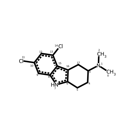 CN(C)C1CCc2[nH]c3cc(Cl)cc(Cl)c3c2C1